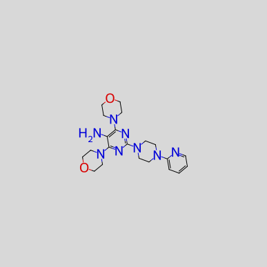 Nc1c(N2CCOCC2)nc(N2CCN(c3ccccn3)CC2)nc1N1CCOCC1